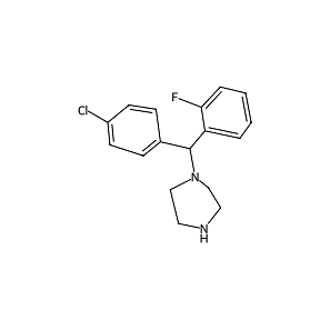 Fc1ccccc1C(c1ccc(Cl)cc1)N1CCNCC1